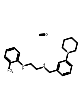 C=O.O=[N+]([O-])c1ccccc1NCCNCc1cccc(N2CCCCC2)c1